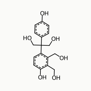 OCc1c(O)ccc(C(CO)(CO)c2ccc(O)cc2)c1CO